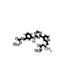 CN(CC(=O)OC(C)(C)C)Cc1cc(-c2ncnc(Nc3cccc(CNC(=O)OC(C)(C)C)c3)n2)ccn1